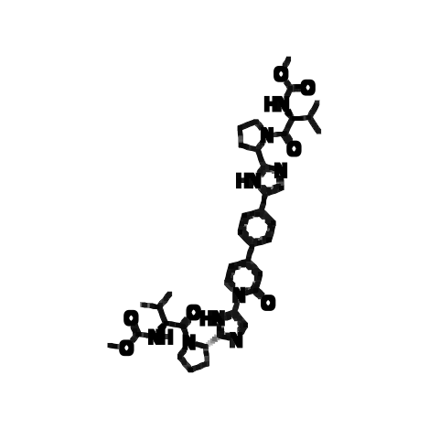 COC(=O)N[C@H](C(=O)N1CCCC1c1ncc(-c2ccc(-c3ccn(-c4cnc([C@@H]5CCCN5C(=O)[C@@H](NC(=O)OC)C(C)C)[nH]4)c(=O)c3)cc2)[nH]1)C(C)C